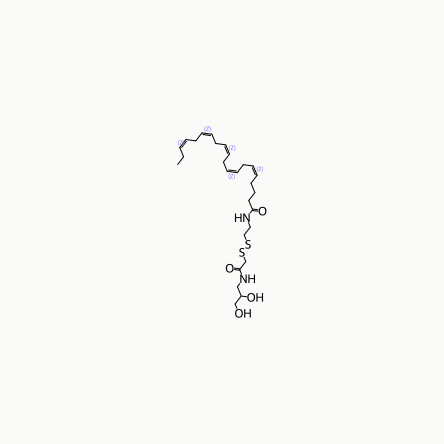 CC/C=C\C/C=C\C/C=C\C/C=C\C/C=C\CCCC(=O)NCCSSCC(=O)NCC(O)CO